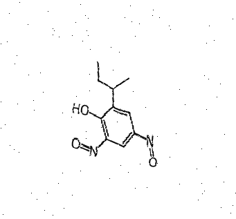 CCC(C)c1cc(N=O)cc(N=O)c1O